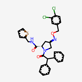 O=C(NCc1cccs1)[C@@H]1C/C(=N\OCc2ccc(Cl)c(Cl)c2)CN1C(=O)C(c1ccccc1)c1ccccc1